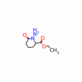 CCOC(=O)C1CCCC(=O)N1N